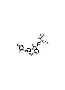 C=CC(=O)N(C)C1CC(n2c(=O)n(-c3ccc(Oc4ccc(F)cc4F)cc3)c3c(N)nccc32)C1